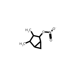 CC1C(C)C(O[N+](=O)[O-])C2CC12